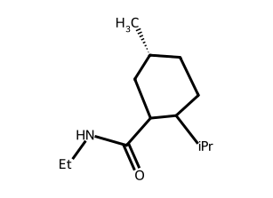 CCNC(=O)C1C[C@H](C)CCC1C(C)C